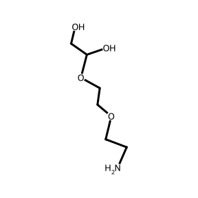 NCCOCCOC(O)CO